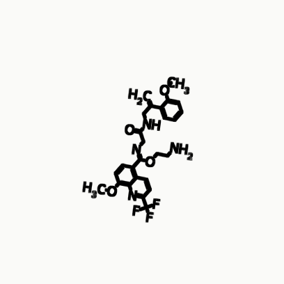 C=C(CNC(=O)C/N=C(\OCCN)c1ccc(OC)c2nc(C(F)(F)F)ccc12)c1ccccc1OC